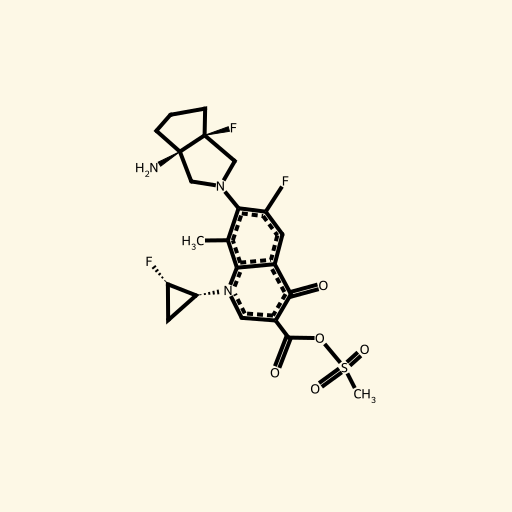 Cc1c(N2C[C@]3(N)CCC[C@]3(F)C2)c(F)cc2c(=O)c(C(=O)OS(C)(=O)=O)cn([C@@H]3C[C@@H]3F)c12